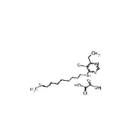 CCc1ncnc(NCCCCCCCCSC)c1Cl.O=C(O)C(=O)O